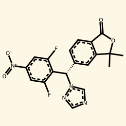 CC1(C)OC(=O)c2ccc([C@@H](c3c(F)cc([N+](=O)[O-])cc3F)n3cncn3)cc21